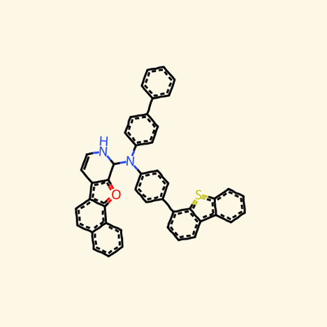 C1=Cc2c(oc3c2ccc2ccccc23)C(N(c2ccc(-c3ccccc3)cc2)c2ccc(-c3cccc4c3sc3ccccc34)cc2)N1